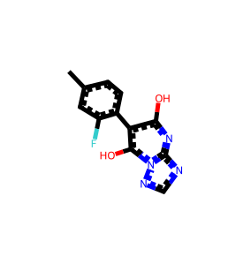 Cc1ccc(-c2c(O)nc3ncnn3c2O)c(F)c1